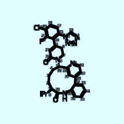 CC(C)C1CCC[C@H](N2CCC(c3c(-n4cnnn4)ccc(Cl)c3F)=CC2=O)c2cc(ccn2)-c2ccccc2NC1=O